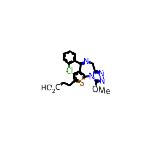 COc1nnc2n1-c1sc(CCC(=O)O)cc1C(c1ccccc1Cl)=NC2